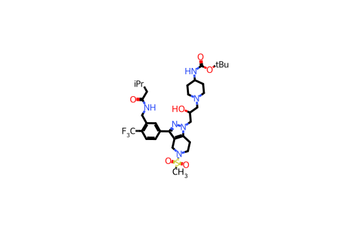 CC(C)CC(=O)NCc1cc(-c2nn(CC(O)CN3CCC(NC(=O)OC(C)(C)C)CC3)c3c2CN(S(C)(=O)=O)CC3)ccc1C(F)(F)F